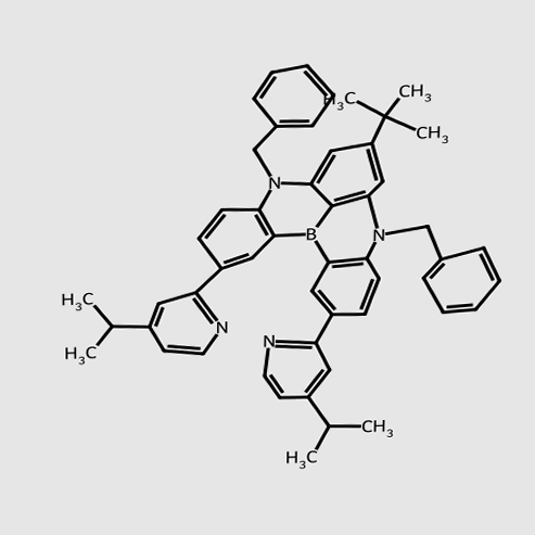 CC(C)c1ccnc(-c2ccc3c(c2)B2c4cc(-c5cc(C(C)C)ccn5)ccc4N(Cc4ccccc4)c4cc(C(C)(C)C)cc(c42)N3Cc2ccccc2)c1